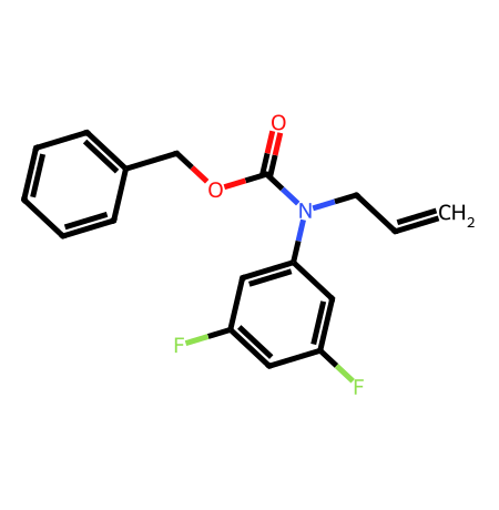 C=CCN(C(=O)OCc1ccccc1)c1cc(F)cc(F)c1